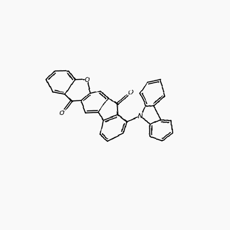 O=C1c2cc3oc4ccccc4c(=O)c3cc2-c2cccc(-n3c4ccccc4c4ccccc43)c21